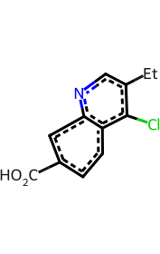 CCc1cnc2cc(C(=O)O)ccc2c1Cl